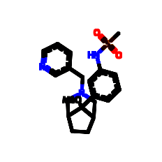 COC1(c2cccc(NS(C)(=O)=O)c2)C2CCC1CN(Cc1cccnc1)C2